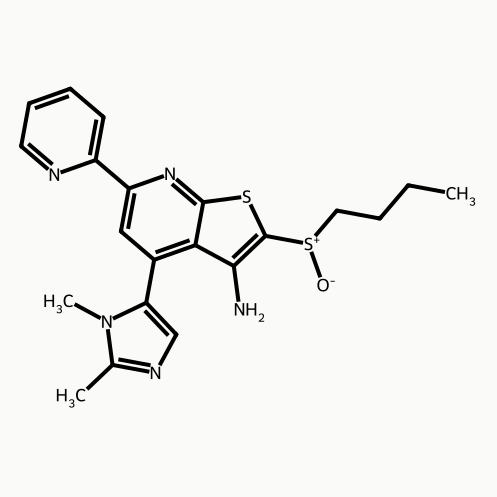 CCCC[S+]([O-])c1sc2nc(-c3ccccn3)cc(-c3cnc(C)n3C)c2c1N